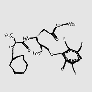 C[C@H](NC1CCCCC1)C(=O)N[C@@H](CC(=O)OC(C)(C)C)C(O)COc1c(F)c(F)cc(F)c1F